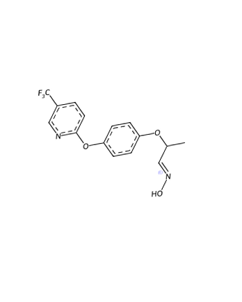 CC(/C=N/O)Oc1ccc(Oc2ccc(C(F)(F)F)cn2)cc1